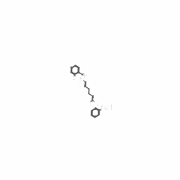 Nc1ccccc1NC(=O)CCCCCNC(=O)c1ccc(F)cc1F